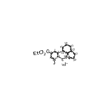 CCOC(=O)c1cc2c([n+](C)c1)Cn1ccc3cccc-2c31.[I-]